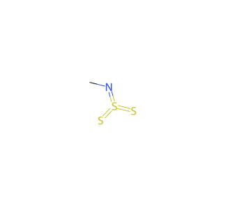 CN=S(=S)=S